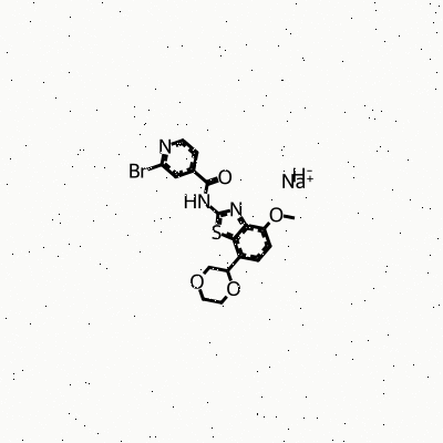 COc1ccc(C2COCCO2)c2sc(NC(=O)c3ccnc(Br)c3)nc12.[H-].[Na+]